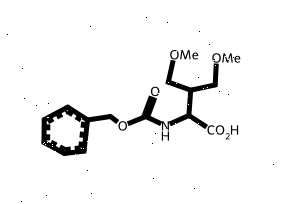 COCC(COC)C(NC(=O)OCc1ccccc1)C(=O)O